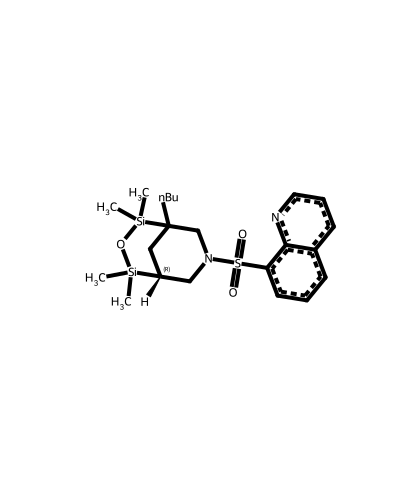 CCCCC12C[C@H](CN(S(=O)(=O)c3cccc4cccnc34)C1)[Si](C)(C)O[Si]2(C)C